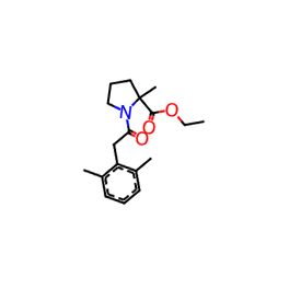 CCOC(=O)C1(C)CCCN1C(=O)Cc1c(C)cccc1C